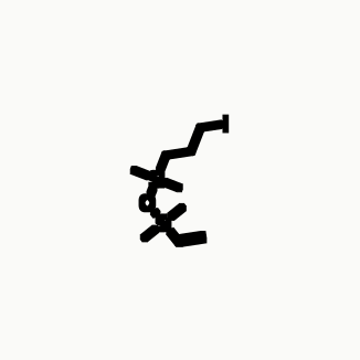 C=C[Si](C)(C)O[Si](C)(C)CCCI